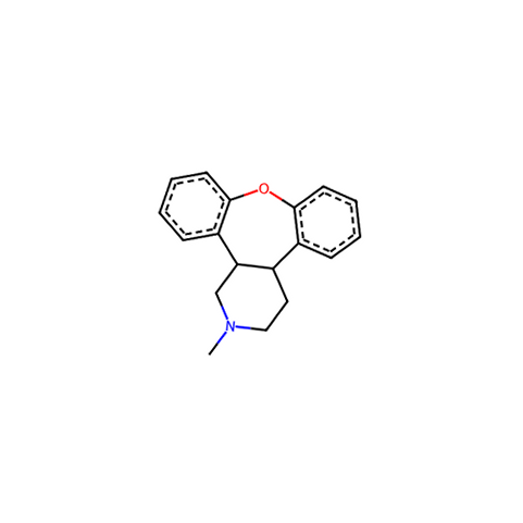 CN1CCC2c3ccccc3Oc3ccccc3C2C1